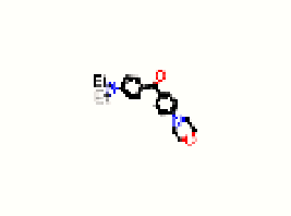 CCN(CC)c1ccc(C(=O)c2ccc(N3CCOCC3)cc2)cc1